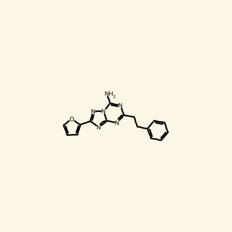 Nc1nc(CCc2ccccc2)nc2nc(-c3ccco3)nn12